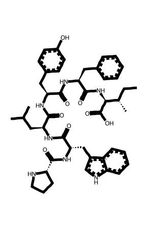 CC[C@H](C)[C@H](NC(=O)[C@H](Cc1ccccc1)NC(=O)[C@H](Cc1ccc(O)cc1)NC(=O)[C@H](CC(C)C)NC(=O)[C@H](Cc1c[nH]c2ccccc12)NC(=O)[C@@H]1CCCN1)C(=O)O